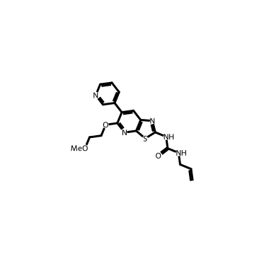 C=CCNC(=O)Nc1nc2cc(-c3cccnc3)c(OCCOC)nc2s1